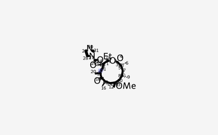 CC[C@H]1OC(=O)[C@H](C)C[C@H](C)C[C@](C)(OC)C[C@@H](C)C(=O)/C(C)=C/[C@]1(C)OC(=O)n1ccnc1